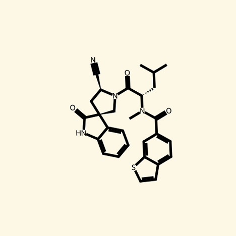 CC(C)C[C@@H](C(=O)N1C[C@]2(C[C@H]1C#N)C(=O)Nc1ccccc12)N(C)C(=O)c1ccc2ccsc2c1